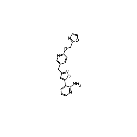 Nc1ncccc1-c1cc(Cc2ccc(OCc3ncco3)nc2)no1